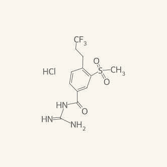 CS(=O)(=O)c1cc(C(=O)NC(=N)N)ccc1CCC(F)(F)F.Cl